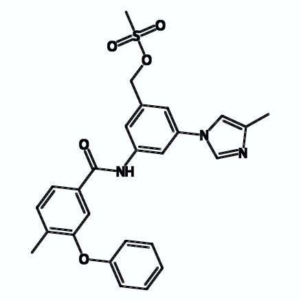 Cc1cn(-c2cc(COS(C)(=O)=O)cc(NC(=O)c3ccc(C)c(Oc4ccccc4)c3)c2)cn1